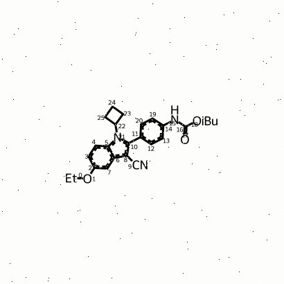 CCOc1ccc2c(c1)c(C#N)c(-c1ccc(NC(=O)OCC(C)C)cc1)n2C1CCC1